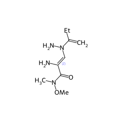 C=C(CC)N(N)/C=C(\N)C(=O)N(C)OC